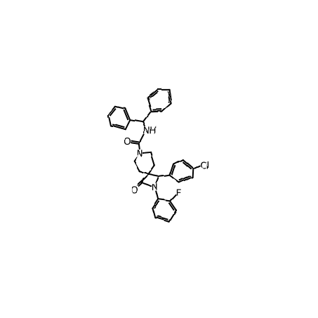 O=C(NC(c1ccccc1)c1ccccc1)N1CCC2(CC1)C(=O)N(c1ccccc1F)C2c1ccc(Cl)cc1